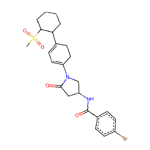 CS(=O)(=O)C1CCCCC1C1=CC=C(N2CC(NC(=O)c3ccc(Br)cc3)CC2=O)CC1